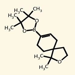 CC1(C)OCCC12CC=C(B1OC(C)(C)C(C)(C)O1)CC2